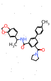 Cc1ccc(-c2cc(C(=O)NC(C)c3ccc4c(c3)OCO4)cc(C(=O)N3CCCC3)c2)cc1